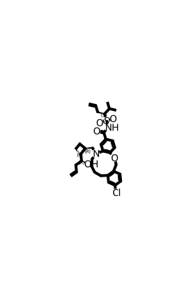 C=CC[C@@H](O)[C@@H]1CC[C@H]1CN1CCCCc2cc(Cl)ccc2COc2ccc(C(=O)NS(=O)(=O)[C@@H](CC=C)C(C)C)cc21